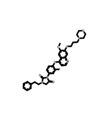 COc1cc2c(Oc3ccc(N4C(=O)CN(CCc5ccccc5)C4=O)cc3F)ccnc2cc1OCCCN1CCOCC1